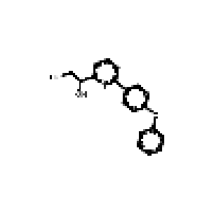 OC[C@H](O)c1cccc(-c2ccc(Oc3ccccc3)cc2)n1